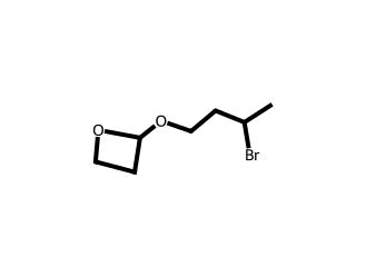 CC(Br)CCOC1CCO1